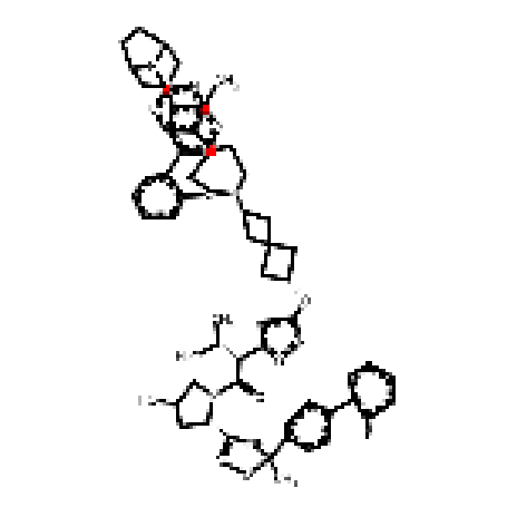 CC(C)[C@@H](C(=O)N1C[C@H](O)C[C@H]1C1=NO[C@@](C)(c2ccc(-c3ccccc3F)cc2)N1)c1cc(O[C@H]2CC3(C2)C[C@H](N2CCC(c4cnc(N5C6CCC5CN(c5cc(-c7ccccc7O)nnc5N)C6)nc4)CC2)C3)no1